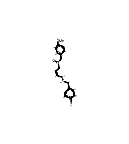 COc1ccc(C[S+]([O-])C/C=C\SSCc2ccc(F)cc2)cc1